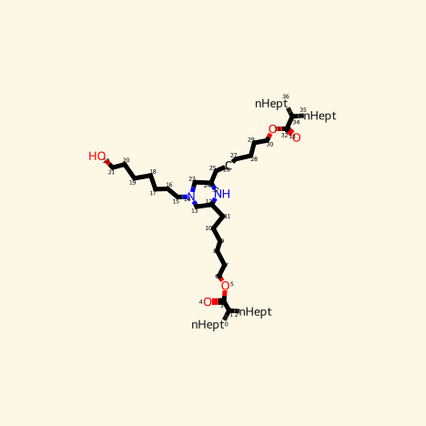 CCCCCCCC(CCCCCCC)C(=O)OCCCCCCC1CN(CCCCCCCO)CC(CCCCCCOC(=O)C(CCCCCCC)CCCCCCC)N1